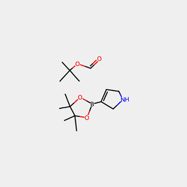 CC(C)(C)OC=O.CC1(C)OB(C2=CCNC2)OC1(C)C